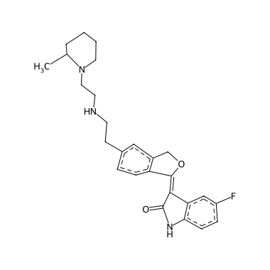 CC1CCCCN1CCNCCc1ccc2c(c1)COC2=C1C(=O)Nc2ccc(F)cc21